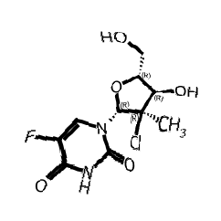 C[C@@]1(Cl)[C@H](O)[C@@H](CO)O[C@H]1n1cc(F)c(=O)[nH]c1=O